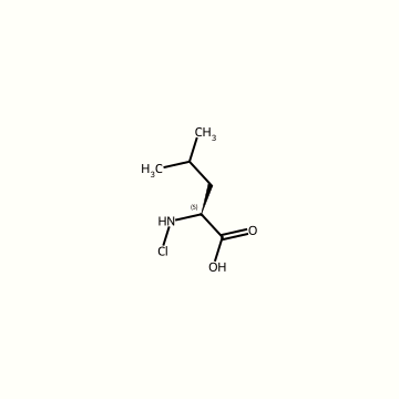 CC(C)C[C@H](NCl)C(=O)O